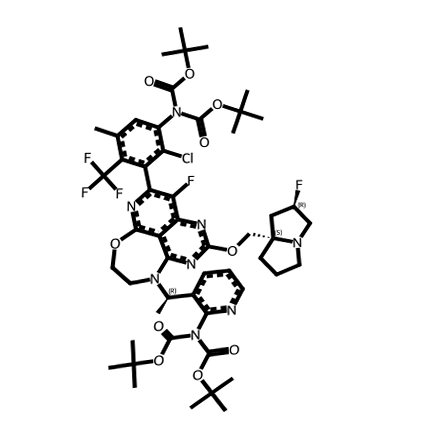 Cc1cc(N(C(=O)OC(C)(C)C)C(=O)OC(C)(C)C)c(Cl)c(-c2nc3c4c(nc(OC[C@@]56CCCN5C[C@H](F)C6)nc4c2F)N([C@H](C)c2cccnc2N(C(=O)OC(C)(C)C)C(=O)OC(C)(C)C)CCO3)c1C(F)(F)F